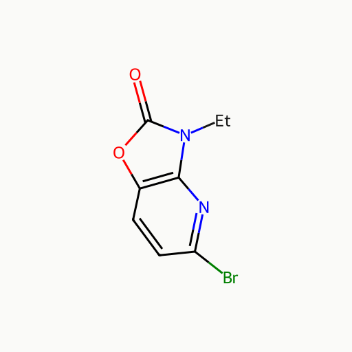 CCn1c(=O)oc2ccc(Br)nc21